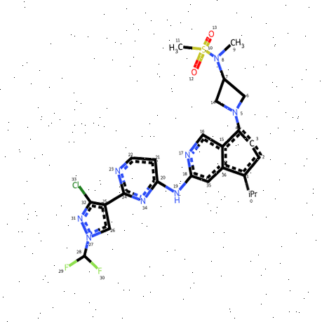 CC(C)c1ccc(N2CC(N(C)S(C)(=O)=O)C2)c2cnc(Nc3ccnc(-c4cn(C(F)F)nc4Cl)n3)cc12